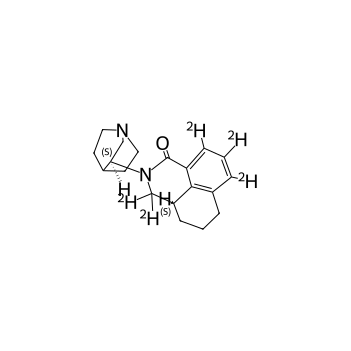 [2H]c1c([2H])c2c3c(c1[2H])C(=O)N([C@@H]1CN4CCC1CC4)C([2H])([2H])[C@H]3CCC2